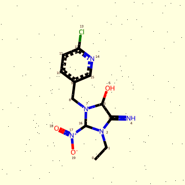 CCN1C(=N)C(O)N(Cc2ccc(Cl)nc2)C1[N+](=O)[O-]